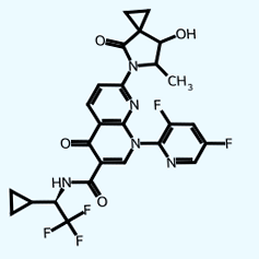 CC1C(O)C2(CC2)C(=O)N1c1ccc2c(=O)c(C(=O)N[C@H](C3CC3)C(F)(F)F)cn(-c3ncc(F)cc3F)c2n1